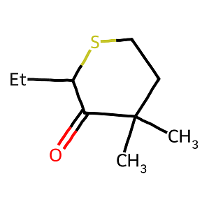 CCC1SCCC(C)(C)C1=O